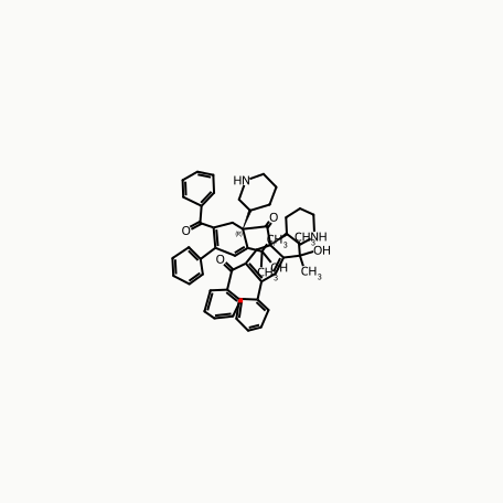 CC(C)(O)C1=CC(c2ccccc2)=C(C(=O)c2ccccc2)C[C@@]1(C(=O)[C@@]1(C2CCCNC2)CC(C(=O)c2ccccc2)=C(c2ccccc2)C=C1C(C)(C)O)C1CCCNC1